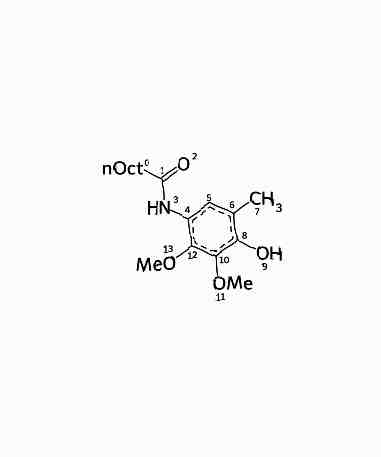 CCCCCCCCC(=O)Nc1cc(C)c(O)c(OC)c1OC